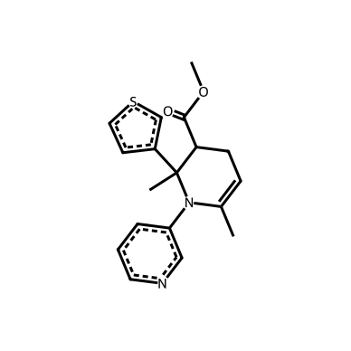 COC(=O)C1CC=C(C)N(c2cccnc2)C1(C)c1ccsc1